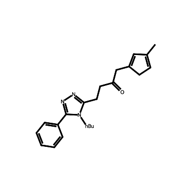 CCCCn1c(CCC(=O)CC2=CC(C)=CC2)nnc1-c1ccccc1